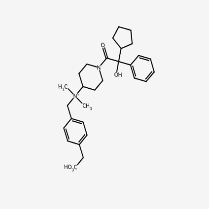 C[N+](C)(Cc1ccc(CC(=O)O)cc1)C1CCN(C(=O)C(O)(c2ccccc2)C2CCCC2)CC1